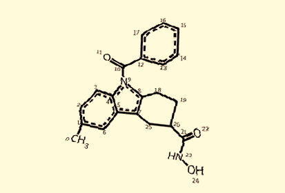 Cc1ccc2c(c1)c1c(n2C(=O)c2ccccc2)CCC(C(=O)NO)C1